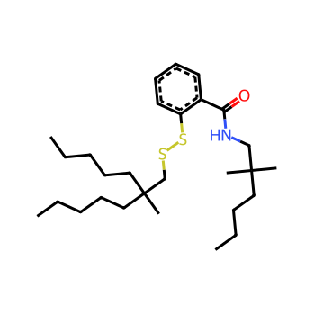 CCCCCC(C)(CCCCC)CSSc1ccccc1C(=O)NCC(C)(C)CCCC